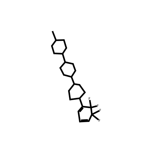 CC1CCC(C2CCC(C3CCC(C4=CC=CC(F)(F)C4(F)F)CC3)CC2)CC1